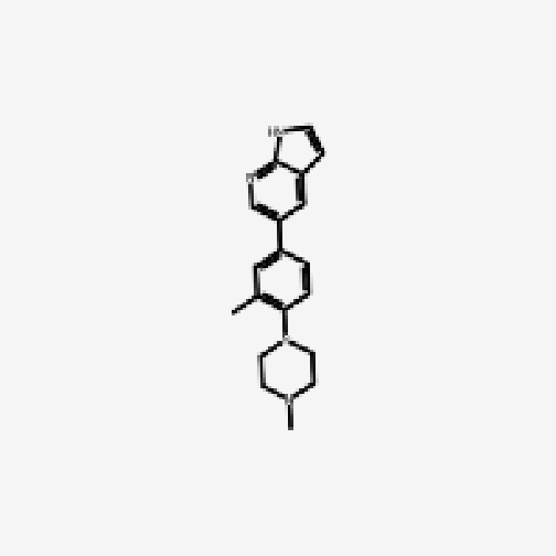 Cc1cc(-c2cnc3[nH]ccc3c2)ccc1N1CCN(C)CC1